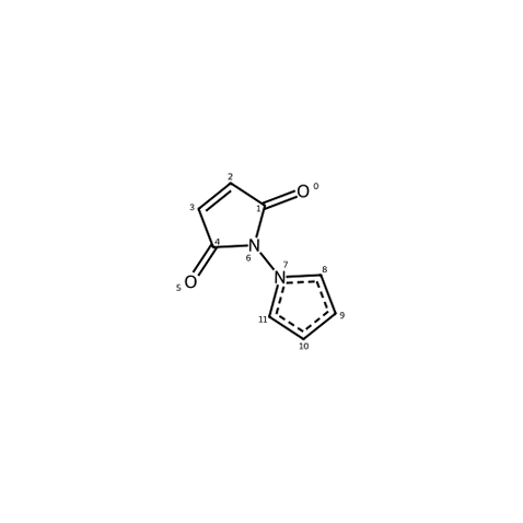 O=C1C=CC(=O)N1n1cccc1